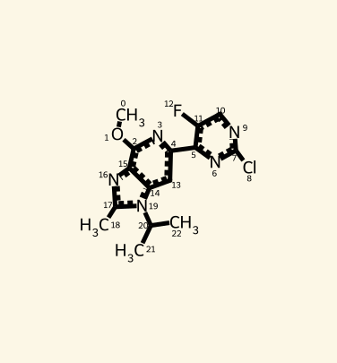 COc1nc(-c2nc(Cl)ncc2F)cc2c1nc(C)n2C(C)C